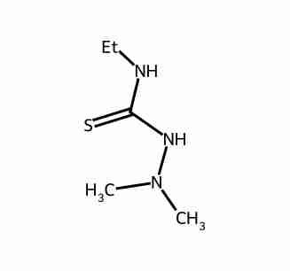 CCNC(=S)NN(C)C